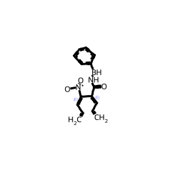 C=C/C=C(C(=O)NBc1ccccc1)\C(=C/C=C)[N+](=O)[O-]